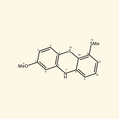 COc1ccc2c(c1)Nc1cccc(SC)c1S2